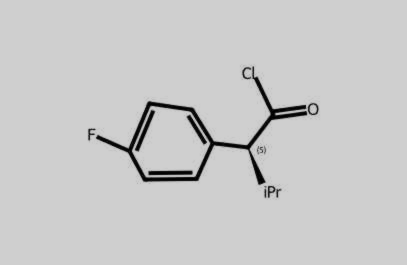 CC(C)[C@H](C(=O)Cl)c1ccc(F)cc1